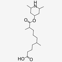 CC(CCCC(=O)O)CCCC(C)C(=O)OC1CC(C)NC(C)C1